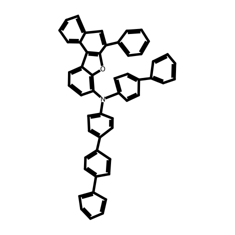 c1ccc(-c2ccc(-c3ccc(N(c4ccc(-c5ccccc5)cc4)c4cccc5c4oc4c(-c6ccccc6)cc6ccccc6c45)cc3)cc2)cc1